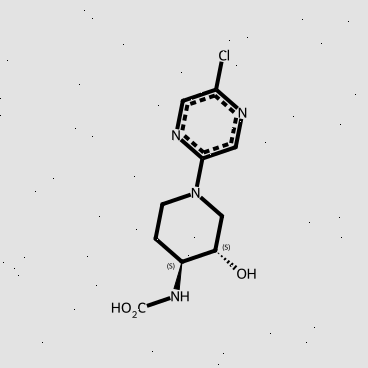 O=C(O)N[C@H]1CCN(c2cnc(Cl)cn2)C[C@@H]1O